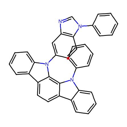 c1ccc(-n2cnc3cc(-n4c5ccccc5c5ccc6c7ccccc7n(-c7ccccc7)c6c54)ccc32)cc1